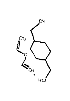 C=COC=C.OCC1CCC(CO)CC1